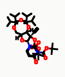 C#C[C@@]1(OC(=O)OC(C)(C)C)[C@@H]2O[Si](C(C)C)(C(C)C)O[Si](C(C)C)(C(C)C)OC[C@H]2O[C@H]1n1ccc(=O)n(C(=O)OC(C)(C)C)c1=O